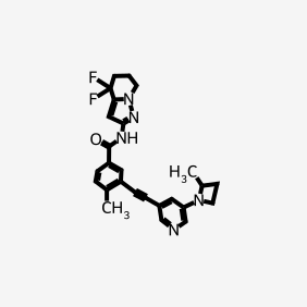 Cc1ccc(C(=O)Nc2cc3n(n2)CCCC3(F)F)cc1C#Cc1cncc(N2CCC2C)c1